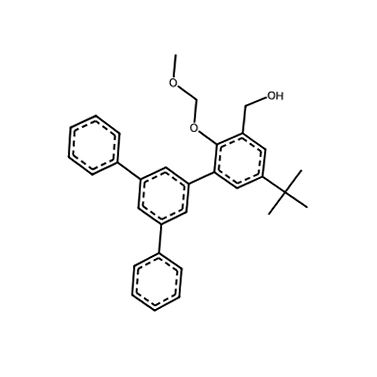 COCOc1c(CO)cc(C(C)(C)C)cc1-c1cc(-c2ccccc2)cc(-c2ccccc2)c1